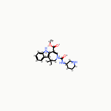 CC(C)OC(=O)C1=CN(C(=O)NC2CCCNC2)CC(C)(C)c2c1[nH]c1ccccc21